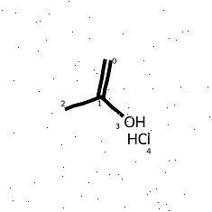 C=C(C)O.Cl